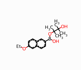 CCOc1ccc2cc(B(O)OC(C)(C)C(C)(C)O)ccc2c1